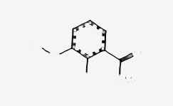 CCOc1cccc(C(=O)OC)c1C(=O)O